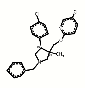 C[C@@]1(COc2ccc(Cl)cn2)CN(Cc2ccccc2)C[C@H]1c1ccc(Cl)cc1